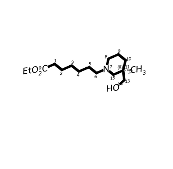 CCOC(=O)CCCCCCN1CCC[C@@](C)(CO)C1